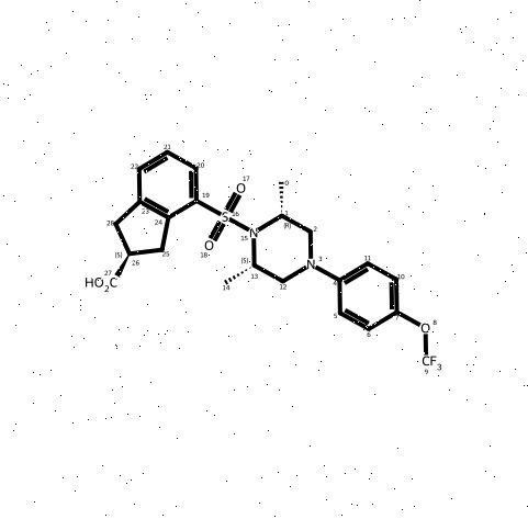 C[C@@H]1CN(c2ccc(OC(F)(F)F)cc2)C[C@H](C)N1S(=O)(=O)c1cccc2c1C[C@@H](C(=O)O)C2